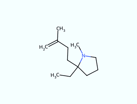 C=C(C)CCC1(CC)CCCN1C